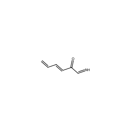 C=C/C=C/C(=O)C=N